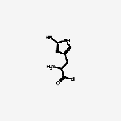 NC(Cc1c[nH]c(S)n1)C(=O)Cl